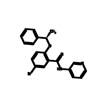 C[C@H](Oc1ccc(Br)cc1C(=O)Nc1cccnc1)c1ccccc1